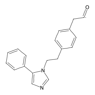 O=[C]Cc1ccc(CCn2cncc2-c2ccccc2)cc1